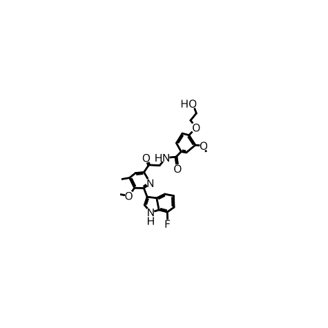 COc1cc(C(=O)NCC(=O)c2cc(C)c(OC)c(-c3c[nH]c4c(F)cccc34)n2)ccc1OCCO